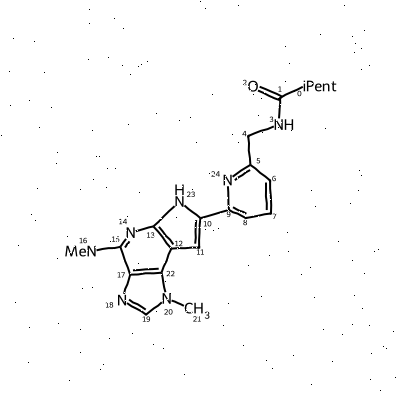 CCCC(C)C(=O)NCc1cccc(-c2cc3c(nc(NC)c4ncn(C)c43)[nH]2)n1